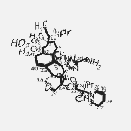 CC(C)[C@@H](C)[C@@]1(C)CC[C@]2(C)[C@H]3CC[C@@H]4[C@@]5(COC[C@@]4(C)[C@@H](OC[C@@](C)(C(C)C)N4CCCCC4)[C@H](n4nnc(N)n4)C5)C3=CC[C@@]2(C)[C@@H]1C(=O)O